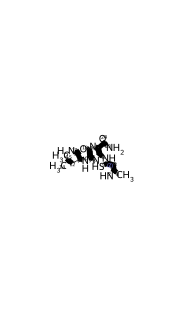 CC(=N)/C=C(\S)Nc1nc(N[C@H](CC(C)C)C(N)=O)cnc1C(N)=O